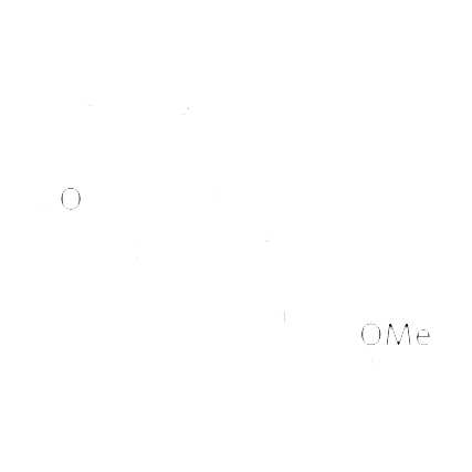 CO/C=C/C1CCOC1